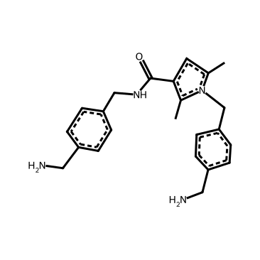 Cc1cc(C(=O)NCc2ccc(CN)cc2)c(C)n1Cc1ccc(CN)cc1